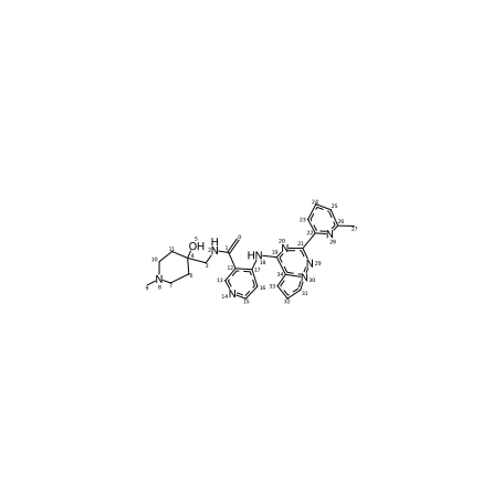 C=C(NCC1(O)CCN(C)CC1)c1cnccc1Nc1nc(-c2cccc(C)n2)nn2cccc12